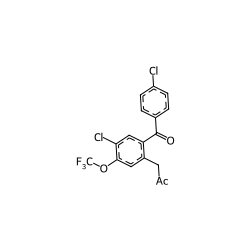 CC(=O)Cc1cc(OC(F)(F)F)c(Cl)cc1C(=O)c1ccc(Cl)cc1